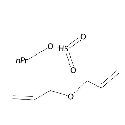 C=CCOCC=C.CCCO[SH](=O)=O